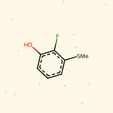 CSc1cccc(O)c1F